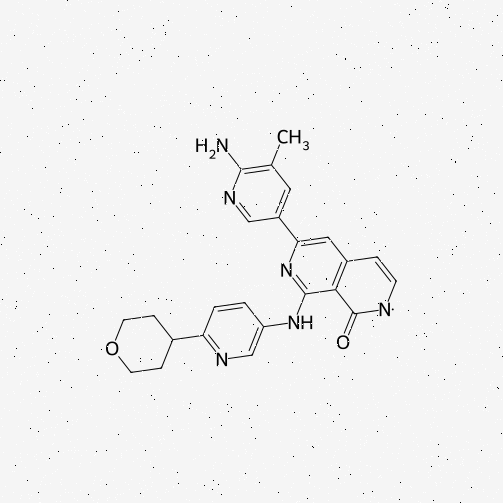 Cc1cc(-c2cc3c(c(Nc4ccc(C5CCOCC5)nc4)n2)C(=O)[N]C=C3)cnc1N